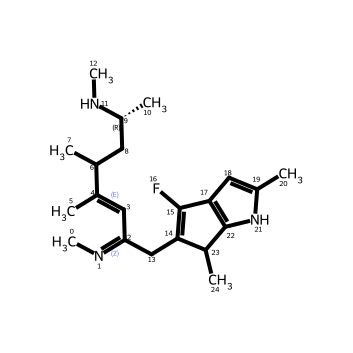 C/N=C(\C=C(/C)C(C)C[C@@H](C)NC)CC1=C(F)c2cc(C)[nH]c2C1C